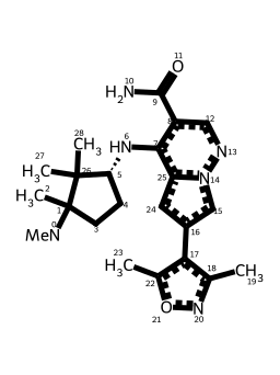 CNC1(C)CC[C@@H](Nc2c(C(N)=O)cnn3cc(-c4c(C)noc4C)cc23)C1(C)C